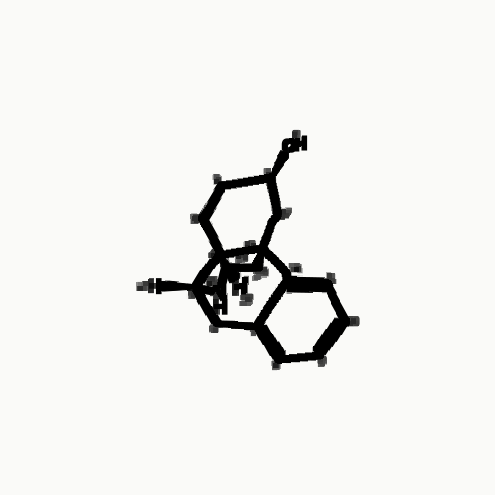 O[C@@H]1CC[C@H]2[C@H]3Cc4ccccc4[C@@]2(CCN3)C1